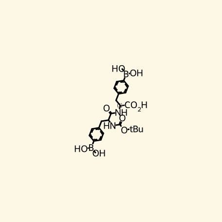 CC(C)(C)OC(=O)NC(Cc1ccc(B(O)O)cc1)C(=O)N[C@@H](Cc1ccc(B(O)O)cc1)C(=O)O